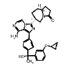 CC(O)(c1ccc(-c2nc([C@@H]3CC[C@H]4CCC(=O)N4C3)n3ccnc(N)c23)cc1)c1cccc(OC2CC2)c1